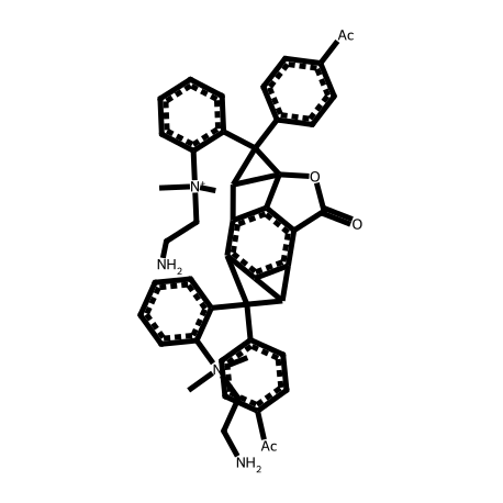 CC(=O)c1ccc(C2(c3ccccc3[N+](C)(C)CCN)c3c4c(c5c6c3C3C6(OC5=O)C3(c3ccc(C(C)=O)cc3)c3ccccc3[N+](C)(C)CCN)C42)cc1